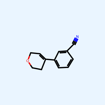 N#Cc1cccc(C2=CCOCC2)c1